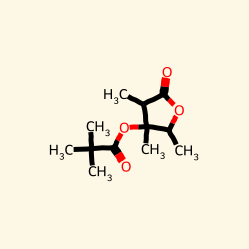 CC1OC(=O)C(C)C1(C)OC(=O)C(C)(C)C